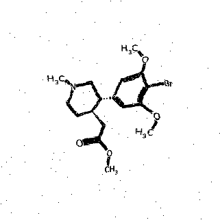 COC(=O)C[C@H]1CCN(C)C[C@@H]1c1cc(OC)c(Br)c(OC)c1